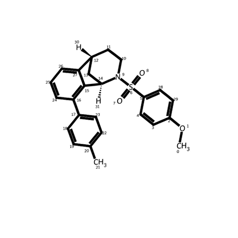 COc1ccc(S(=O)(=O)N2CC[C@@H]3C[C@@H]2c2c(-c4ccc(C)cc4)cccc23)cc1